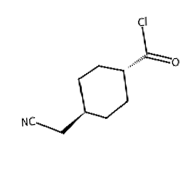 N#CC[C@H]1CC[C@H](C(=O)Cl)CC1